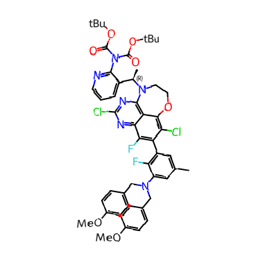 COc1ccc(CN(Cc2ccc(OC)cc2)c2cc(C)cc(-c3c(Cl)c4c5c(nc(Cl)nc5c3F)N([C@H](C)c3cccnc3N(C(=O)OC(C)(C)C)C(=O)OC(C)(C)C)CCO4)c2F)cc1